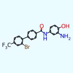 Nc1cc(NC(=O)c2ccc(-c3ccc(C(F)(F)F)cc3Br)cc2)ccc1O